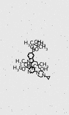 CCn1c(-c2cc(N3CCN(C4CC4)CC3)cnc2[C@H](C)OC)c(CC(C)(C)CO)c2cc(B3OC(C)(C)C(C)(C)O3)ccc21